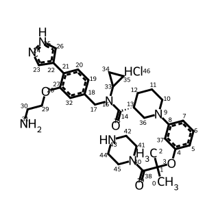 CC(C)(Oc1cccc(N2CCC[C@@H](C(=O)N(Cc3ccc(-c4cn[nH]c4)c(OCCN)c3)C3CC3)C2)c1)C(=O)N1CCNCC1.Cl